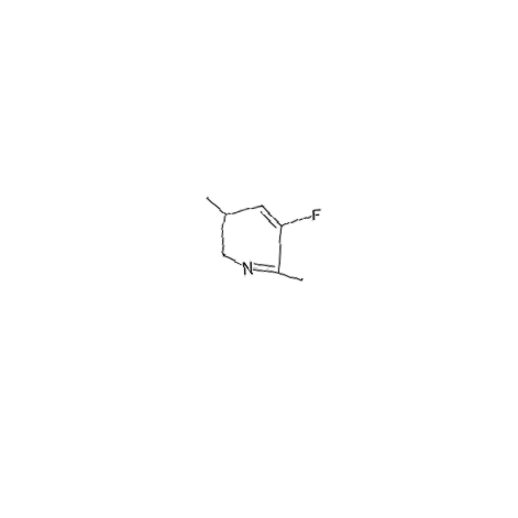 CC1=NCC(C)C=C1F